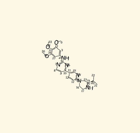 COc1cc(Nc2nccc(-c3ccc(N4CCN[C@H](C(C)C)C4)nc3)n2)cc(OC)c1OC